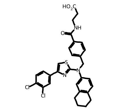 O=C(O)CCNC(=O)c1ccc(CN(c2ccc3c(c2)CCCC3)c2nc(-c3ccc(Cl)c(Cl)c3)cs2)cc1